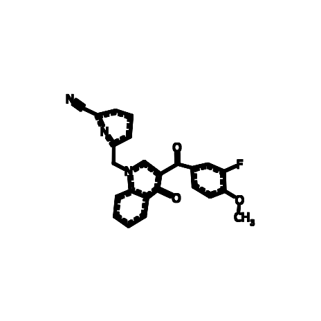 COc1ccc(C(=O)c2cn(Cc3cccc(C#N)n3)c3ccccc3c2=O)cc1F